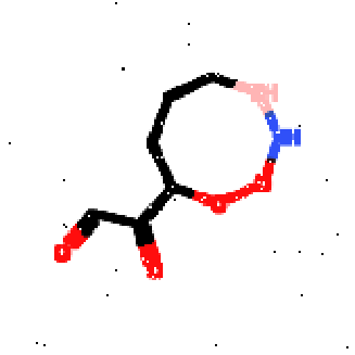 O=CC(=O)C1CCCBNOO1